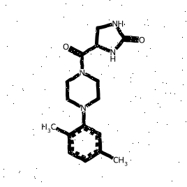 Cc1ccc(C)c(N2CCN(C(=O)C3CNC(=O)N3)CC2)c1